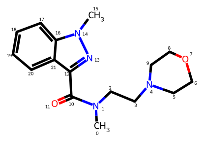 CN(CCN1CCOCC1)C(=O)c1nn(C)c2ccccc12